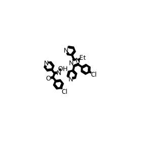 CCn1c(-c2cccnc2)nc(-c2ccncc2)c1-c1ccc(Cl)cc1.O=C(/C(=N/O)c1ccncc1)c1ccc(Cl)cc1